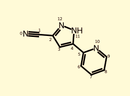 N#Cc1cc(-c2ccccn2)[nH]n1